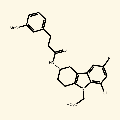 COc1cccc(CCC(=O)N[C@H]2CCc3c(c4cc(F)cc(Cl)c4n3CC(=O)O)C2)c1